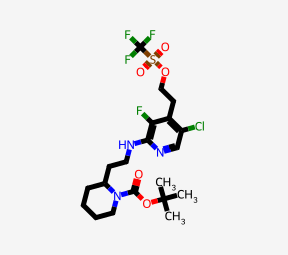 CC(C)(C)OC(=O)N1CCCCC1CCNc1ncc(Cl)c(CCOS(=O)(=O)C(F)(F)F)c1F